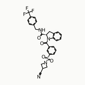 N#CC1CN(S(=O)(=O)c2cccc(C(=O)N3c4ccccc4C[C@@H]3C(=O)NCc3ccc(C(F)(F)F)cc3)c2)C1